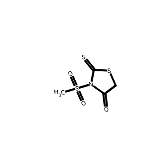 CS(=O)(=O)N1C(=O)CSC1=S